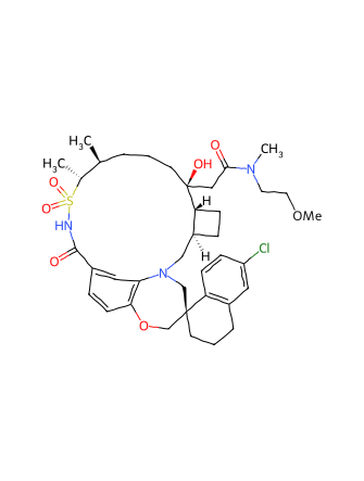 COCCN(C)C(=O)C[C@@]1(O)CCC[C@H](C)[C@@H](C)S(=O)(=O)NC(=O)c2ccc3c(c2)N(C[C@@H]2CC[C@H]21)C[C@@]1(CCCc2cc(Cl)ccc21)CO3